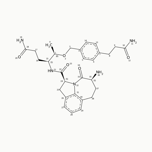 C[C@@H](OCc1ccc(CCC(N)=O)cc1)[C@H](CCC(N)=O)NC(=O)[C@@H]1Cc2cccc3c2N1C(=O)[C@@H](N)CC3